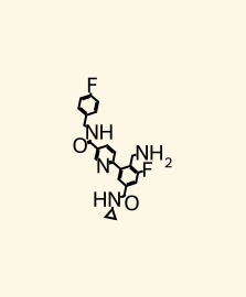 NCc1c(F)cc(C(=O)NC2CC2)cc1-c1ccc(C(=O)NCc2ccc(F)cc2)cn1